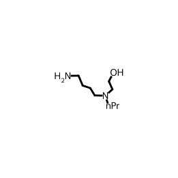 CCCN(CCO)CCCCN